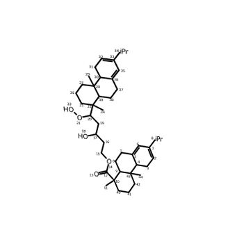 CC(C)C1=CCC2C(=C1)CCC1C(C)(C(=O)OCCC(O)CC(OO)C3(C)CCCC4(C)C5CC=C(C(C)C)C=C5CCC34)CCCC21C